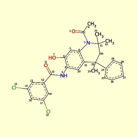 CC(=O)N1c2cc(O)c(NC(=O)c3cc(Cl)cc(Cl)c3)cc2C(C)(c2ccccc2)CC1(C)C